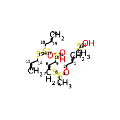 C=CCOS(C)=S.C=CCSO.C=CCS[S+]([O-])CC=C.CSO